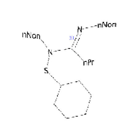 CCCCCCCCC/N=C(\CCC)N(CCCCCCCCC)SC1CCCCC1